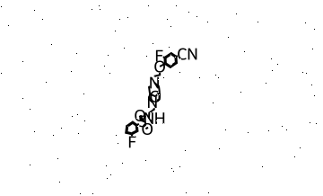 N#Cc1ccc(OCCN2CC3CN(CCNS(=O)(=O)c4cccc(F)c4)CC(C2)O3)c(F)c1